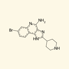 Nc1nc2cc(Br)ccc2c2[nH]c(C3CCNCC3)nc12